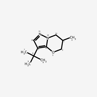 CC1COc2c(C(C)(C)C)cnn2C1